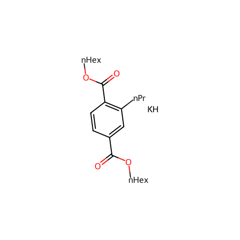 CCCCCCOC(=O)c1ccc(C(=O)OCCCCCC)c(CCC)c1.[KH]